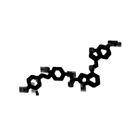 COc1ccc2c(COc3cccc4[nH]c(C(=O)NC5CCC(O)(CCN6CC[C@H](O)[C@@H](C)C6)CC5)cc34)coc2c1